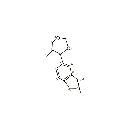 CC1COCOC1c1ccc2c(c1)OOC2